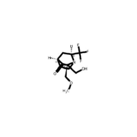 COC[C@@]1(CO)C(=O)[C@H]2CCN1[C@H](C(F)(F)F)C2